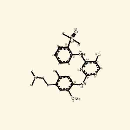 COc1cc(CCN(C)C)c(C)cc1Nc1ncc(Cl)c(Nc2ccccc2P(C)(C)=O)n1